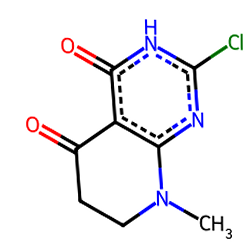 CN1CCC(=O)c2c1nc(Cl)[nH]c2=O